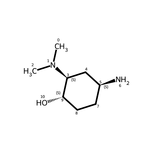 CN(C)[C@H]1C[C@@H](N)CC[C@@H]1O